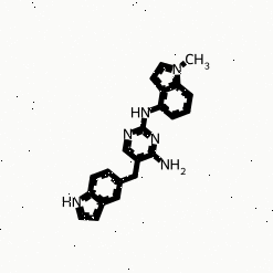 Cn1ccc2c(Nc3ncc(Cc4ccc5[nH]ccc5c4)c(N)n3)cccc21